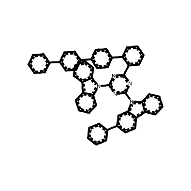 c1ccc(-c2ccc(-c3ccc(-c4ccccc4-c4nc(-n5c6ccccc6c6ccccc65)nc(-n5c6ccccc6c6ccc(-c7ccccc7)cc65)n4)cc3)cc2)cc1